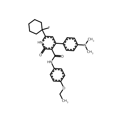 CCOc1ccc(NC(=O)c2c(-c3ccc(N(C)C)cc3)cc(C3(F)CCCCC3)[nH]c2=O)cc1